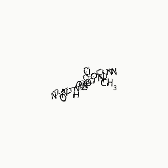 Cc1cc(-n2ccnc2)c2cccc(OCc3c(Cl)ccc(S(=O)(=O)N4CCC[C@H]4C(=O)NCC4CCN(C(=O)c5cccnc5)CC4)c3Cl)c2n1